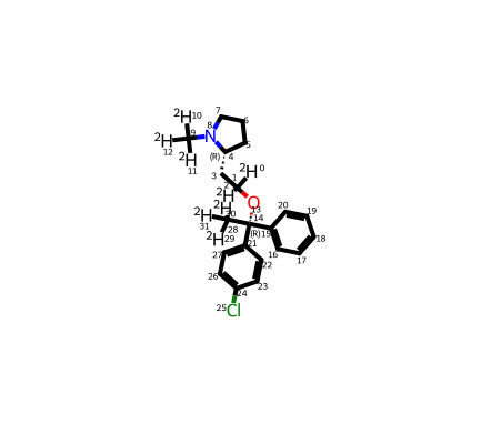 [2H]C([2H])(C[C@H]1CCCN1C([2H])([2H])[2H])O[C@](c1ccccc1)(c1ccc(Cl)cc1)C([2H])([2H])[2H]